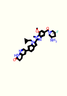 COc1cc(C(=O)N2C[C@H](N)C[C@@H](F)C2)cc2nc(-c3cc4ccc(-c5cnc6c(c5)CCC(=O)N6)cc4n3CC3CC3)n(C)c12